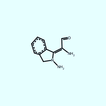 N/C(C=O)=C1/c2ccccc2CN1N